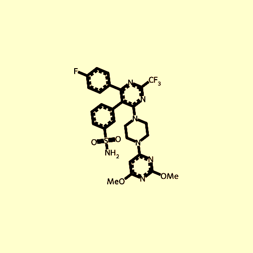 COc1cc(N2CCN(c3nc(C(F)(F)F)nc(-c4ccc(F)cc4)c3-c3cccc(S(N)(=O)=O)c3)CC2)nc(OC)n1